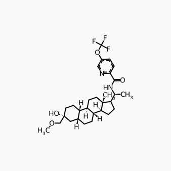 COC[C@@]1(O)CC[C@H]2[C@H](CC[C@@H]3[C@@H]2CC[C@]2(C)C([C@H](C)NC(=O)c4ccc(OC(F)(F)F)cn4)CC[C@@H]32)C1